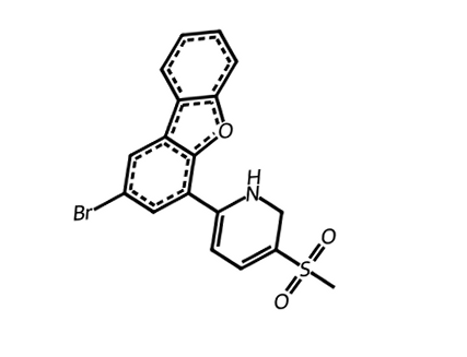 CS(=O)(=O)C1=CC=C(c2cc(Br)cc3c2oc2ccccc23)NC1